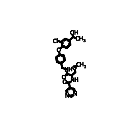 COCC(NC(=O)c1cncnc1)C(=O)NCc1ccc(Oc2ccc(C(C)O)cc2Cl)cc1